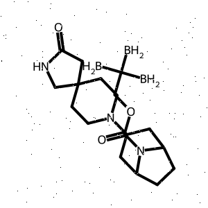 BC(B)(B)COC(=O)N1C2CCC1CC(N1CCC3(CC1)CNC(=O)C3)C2